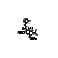 COCOc1cc(OC)c(C(=O)C=Cc2ccccn2)c(O)c1CC=C(C)C.Cl